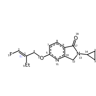 CC/C(=C\F)COc1ccc2c(n1)CN(C1CC1)C2=O